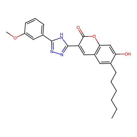 CCCCCCc1cc2cc(-c3nnc(-c4cccc(OC)c4)[nH]3)c(=O)oc2cc1O